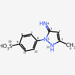 Cc1cc(=N)n(-c2ccc(S(=O)(=O)O)cc2)[nH]1